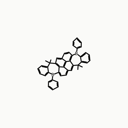 CC1(C)c2ccccc2B(c2ccccc2)c2ccc3cc4c5c(ccc6cc1c2c3c65)B(c1ccccc1)c1ccccc1C4(C)C